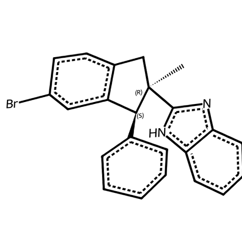 C[C@@]1(c2nc3ccccc3[nH]2)Cc2ccc(Br)cc2[C@@H]1c1ccccc1